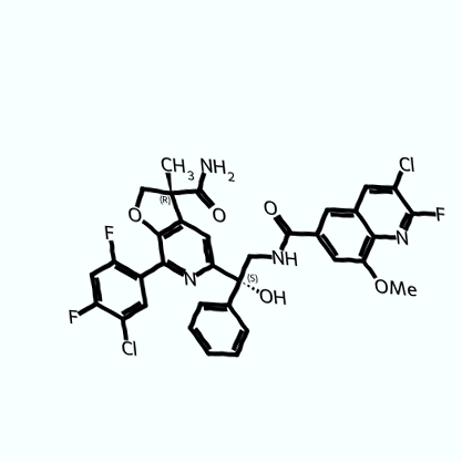 COc1cc(C(=O)NC[C@@](O)(c2ccccc2)c2cc3c(c(-c4cc(Cl)c(F)cc4F)n2)OC[C@]3(C)C(N)=O)cc2cc(Cl)c(F)nc12